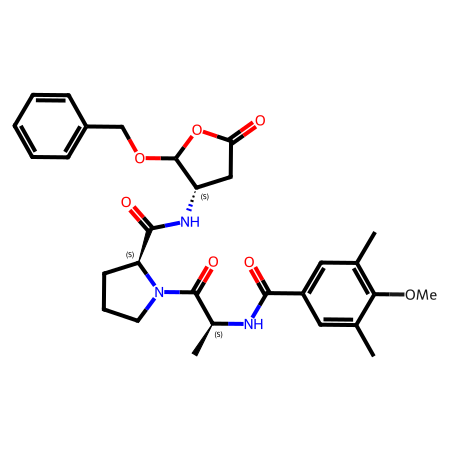 COc1c(C)cc(C(=O)N[C@@H](C)C(=O)N2CCC[C@H]2C(=O)N[C@H]2CC(=O)OC2OCc2ccccc2)cc1C